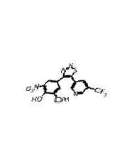 O=[N+]([O-])c1cc(-c2nnsc2-c2cncc(C(F)(F)F)c2)cc(O)c1O